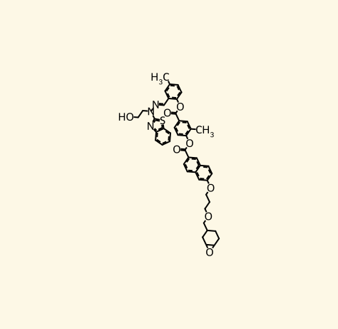 Cc1ccc(OC(=O)c2ccc(OC(=O)c3ccc4cc(OCCCOCC5CCC6OC6C5)ccc4c3)c(C)c2)c(/C=N/N(CCO)c2nc3ccccc3s2)c1